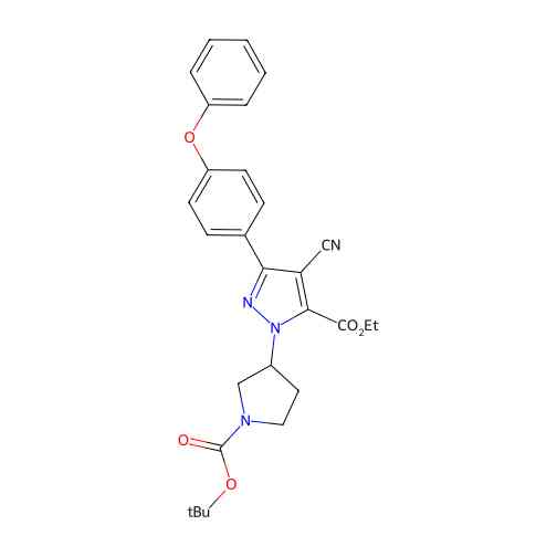 CCOC(=O)c1c(C#N)c(-c2ccc(Oc3ccccc3)cc2)nn1C1CCN(C(=O)OC(C)(C)C)C1